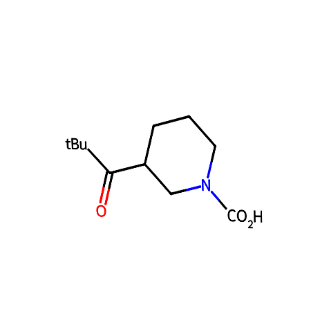 CC(C)(C)C(=O)C1CCCN(C(=O)O)C1